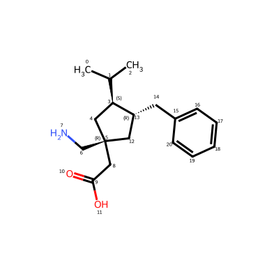 CC(C)[C@@H]1C[C@@](CN)(CC(=O)O)C[C@H]1Cc1ccccc1